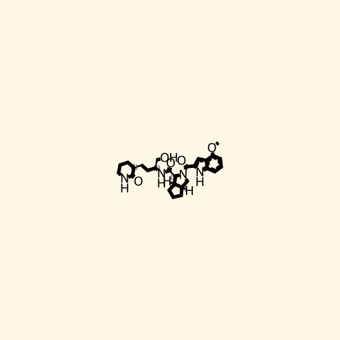 COc1cccc2[nH]c(C(=O)N3C[C@@H]4CCC[C@@H]4[C@H]3C(=O)N[C@H](CO)CC[C@@H]3CCCNC3=O)cc12